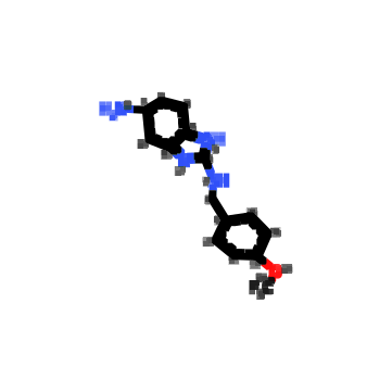 Nc1ccc2[nH]c(NCc3ccc(OC(F)(F)F)cc3)nc2c1